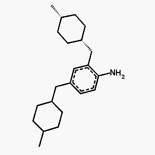 CC1CCC(Cc2ccc(N)c(C[C@H]3CC[C@@H](C)CC3)c2)CC1